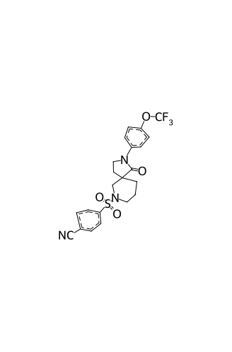 N#Cc1ccc(S(=O)(=O)N2CCCC3(CCN(c4ccc(OC(F)(F)F)cc4)C3=O)C2)cc1